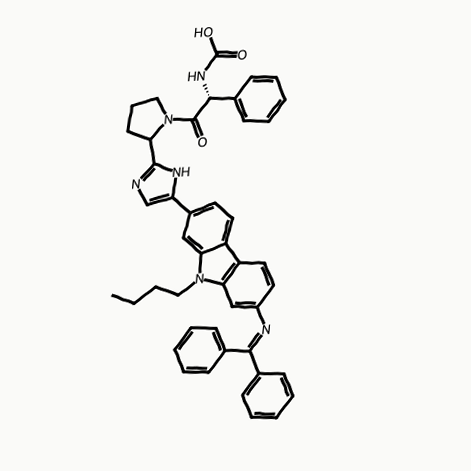 CCCCn1c2cc(N=C(c3ccccc3)c3ccccc3)ccc2c2ccc(-c3cnc(C4CCCN4C(=O)[C@H](NC(=O)O)c4ccccc4)[nH]3)cc21